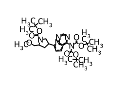 COCC1CC(c2ccc3c(N(C(=O)OC(C)(C)C)C(=O)OC(C)(C)C)ncnn23)CN1C(=O)OC(C)(C)C